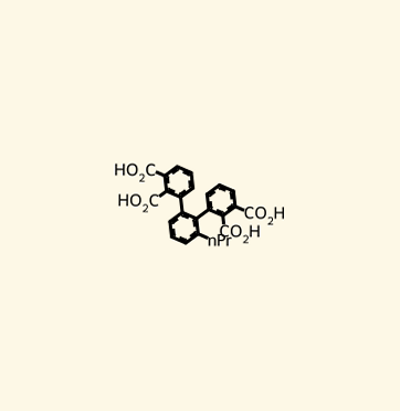 CCCc1cccc(-c2cccc(C(=O)O)c2C(=O)O)c1-c1cccc(C(=O)O)c1C(=O)O